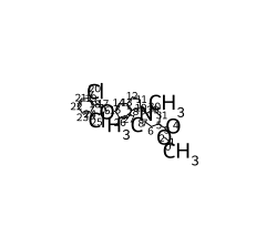 CCOC(=O)C1CC(C)N(C2CCc3cc(OCc4c(Cl)cccc4Cl)ccc32)C(C)C1